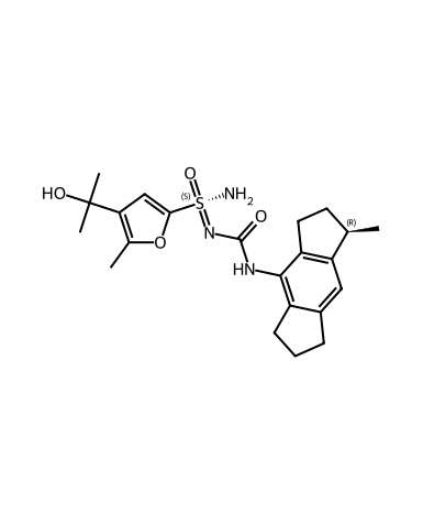 Cc1oc([S@@](N)(=O)=NC(=O)Nc2c3c(cc4c2CC[C@H]4C)CCC3)cc1C(C)(C)O